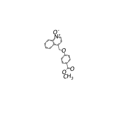 COC(=O)c1ccc(OCc2cc[n+]([O-])c3ccccc23)cc1